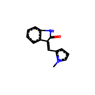 Cn1cccc1C=C1C(=O)Nc2ccccc21